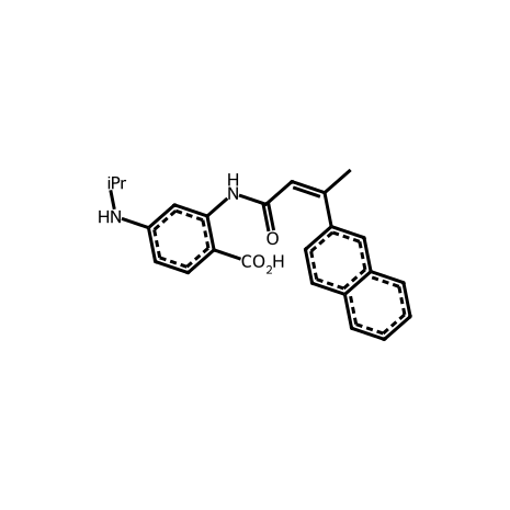 C/C(=C/C(=O)Nc1cc(NC(C)C)ccc1C(=O)O)c1ccc2ccccc2c1